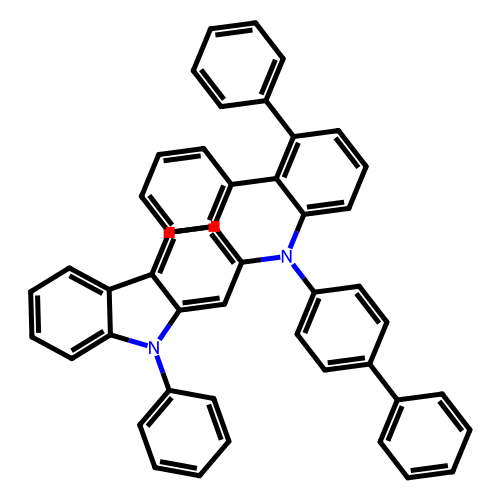 c1ccc(-c2ccc(N(c3ccc4c5ccccc5n(-c5ccccc5)c4c3)c3cccc(-c4ccccc4)c3-c3ccccc3)cc2)cc1